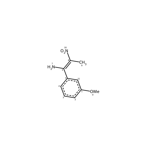 COc1cccc(C(N)=C(C)[N+](=O)[O-])c1